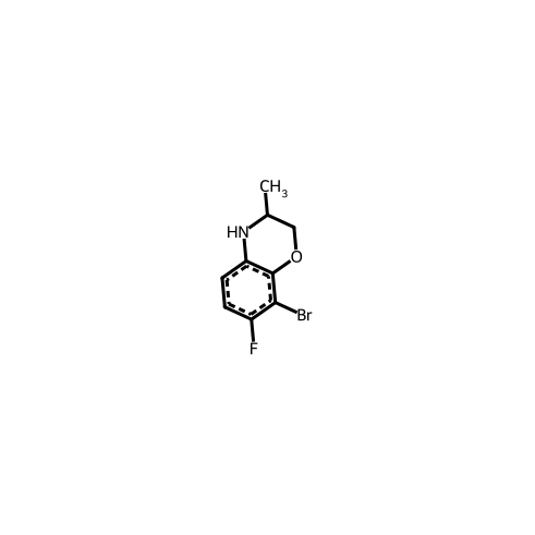 CC1COc2c(ccc(F)c2Br)N1